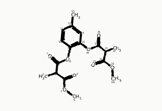 COC(=O)C(C)C(=O)Oc1ccc(C)cc1OC(=O)C(C)C(=O)OC